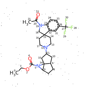 CCOC(=O)N1C2CCC3CC(N4CCC5(CC4)CN(C(C)=O)c4ccc(C(F)(F)F)cc45)CC321